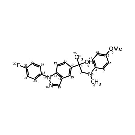 COc1ccc(N(C)CC(O)(c2ccc3c(cnn3-c3ccc(F)cc3)c2)C(F)(F)F)cc1